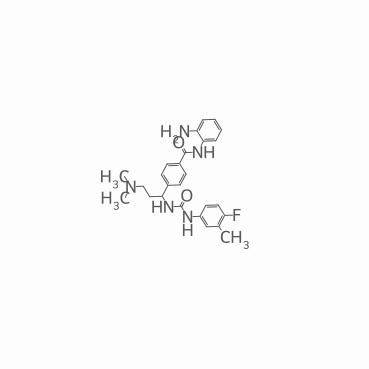 Cc1cc(NC(=O)NC(CCN(C)C)c2ccc(C(=O)Nc3ccccc3N)cc2)ccc1F